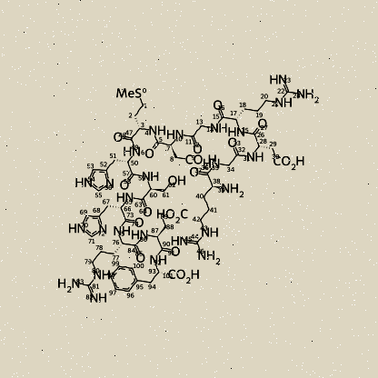 CSCC[C@H](NC(=O)[C@H](CC(=O)O)NC(=O)CNC(=O)[C@H](CCCNC(=N)N)NC(=O)[C@H](CC(=O)O)NC(=O)CNC(=O)[C@@H](N)CCCNC(=N)N)C(=O)N[C@@H](Cc1c[nH]cn1)C(=O)N[C@@H](CO)C(=O)N[C@@H](Cc1c[nH]cn1)C(=O)N[C@@H](CCCNC(=N)N)C(=O)N[C@@H](CC(=O)O)C(=O)N[C@@H](Cc1ccccc1)C(=O)O